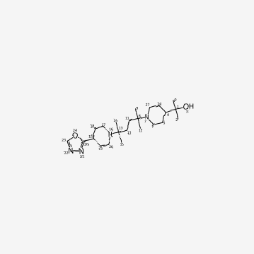 CC(C)(O)C1CCN(C(C)(C)CCC(C)(C)N2CCC(c3nnco3)CC2)CC1